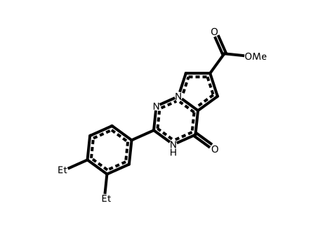 CCc1ccc(-c2nn3cc(C(=O)OC)cc3c(=O)[nH]2)cc1CC